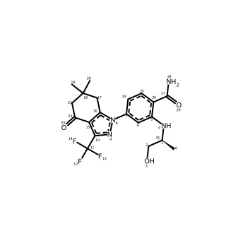 C[C@@H](CO)Nc1cc(-n2nc(C(F)(F)F)c3c2CC(C)(C)CC3=O)ccc1C(N)=O